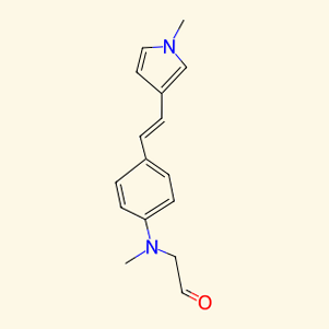 CN(CC=O)c1ccc(/C=C/c2ccn(C)c2)cc1